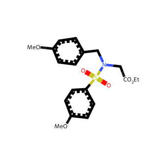 CCOC(=O)CN(Cc1ccc(OC)cc1)S(=O)(=O)c1ccc(OC)cc1